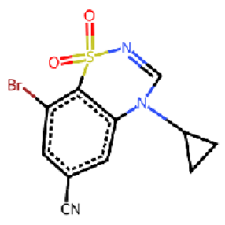 N#Cc1cc(Br)c2c(c1)N(C1CC1)C=NS2(=O)=O